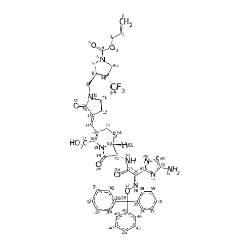 C=CCOC(=O)N1C[C@H](CN2CC/C(=C\C3=C(C(=O)O)N4C(=O)[C@@H](NC(=O)/C(=N\OC(c5ccccc5)(c5ccccc5)c5ccccc5)c5nsc(N)n5)[C@H]4SC3)C2=O)[C@@H](C(F)(F)F)C1